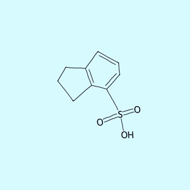 O=S(=O)(O)c1cccc2c1CCC2